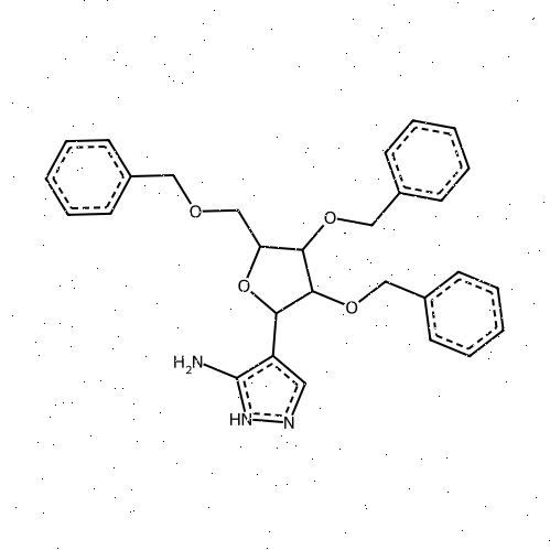 Nc1[nH]ncc1C1OC(COCc2ccccc2)C(OCc2ccccc2)C1OCc1ccccc1